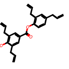 C=CCc1ccc(OC(=O)c2cc(CC=C)c(O)c(CC=C)c2)c(CC=C)c1